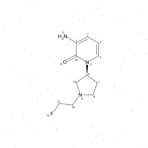 Nc1cccn([C@H]2CCN(CCF)C2)c1=O